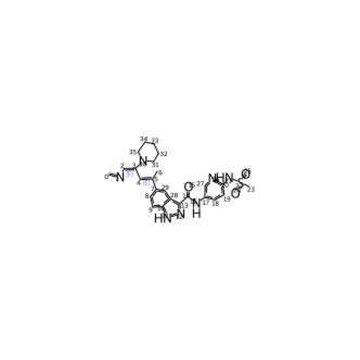 C=N/C=C(\C=C(/C)c1ccc2[nH]nc(C(=O)Nc3ccc(NS(C)(=O)=O)nc3)c2c1)N1CCCCC1